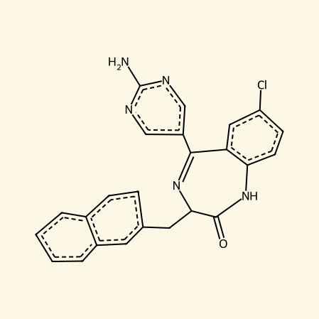 Nc1ncc(C2=NC(Cc3ccc4ccccc4c3)C(=O)Nc3ccc(Cl)cc32)cn1